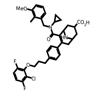 COc1cccc(CN(C(=O)C2=C(c3ccc(CCCOc4c(F)ccc(F)c4Cl)cc3)CC3CC(C(=O)O)CC2N3)C2CC2)c1C